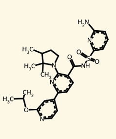 CC(C)Oc1cc(-c2ccc(C(=O)NS(=O)(=O)c3cccc(N)n3)c(N3CCC(C)C3(C)C)n2)ccn1